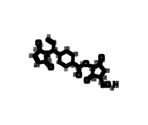 C=CC(C1CCC(C(=O)ON2C(=O)CC(S(=O)(=O)O)C2=O)CC1)N1C(=O)C=CC1=O